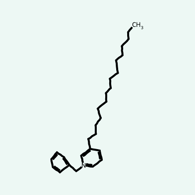 CCCCCCCCCCCCCCCCc1ccc[n+](Cc2ccccc2)c1